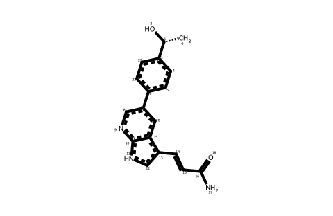 C[C@@H](O)c1ccc(-c2cnc3[nH]cc(/C=C/C(N)=O)c3c2)cc1